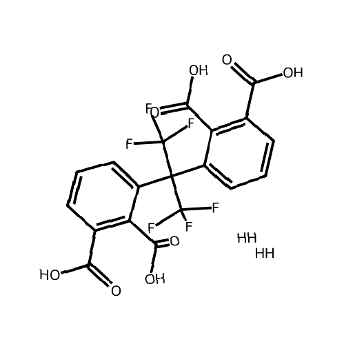 O=C(O)c1cccc(C(c2cccc(C(=O)O)c2C(=O)O)(C(F)(F)F)C(F)(F)F)c1C(=O)O.[HH].[HH]